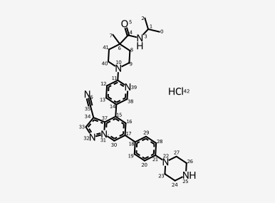 CC(C)NC(=O)C1(C)CCN(c2ccc(-c3cc(-c4ccc(N5CCNCC5)cc4)cn4ncc(C#N)c34)cn2)CC1.Cl